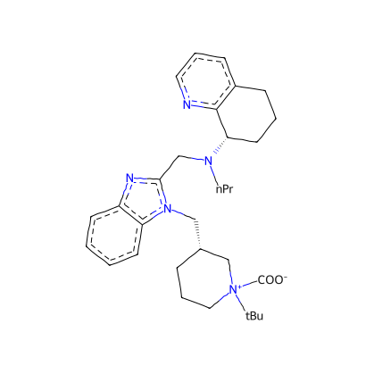 CCCN(Cc1nc2ccccc2n1C[C@H]1CCC[N+](C(=O)[O-])(C(C)(C)C)C1)[C@H]1CCCc2cccnc21